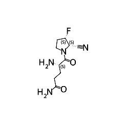 N#C[C@H]1[C@@H](F)CCN1C(=O)[C@@H](N)CCC(N)=O